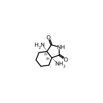 N[C@@]12CCCC[C@]1(N)C(=O)NC2=O